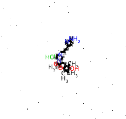 Cc1c(C)c2c(c(C)c1O)CCC(C)(C(=O)N1CCN(CCCCc3ccc(N)nc3)CC1)O2.Cl